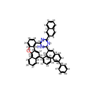 C1=C(C2N=C(c3ccc4ccccc4c3)N=C(c3cccc4oc5c6ccccc6c(-c6ccccc6)cc5c34)N2)CCc2cc(-c3ccccc3)ccc21